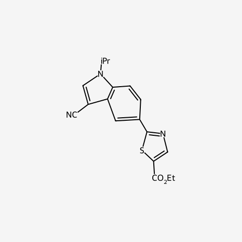 CCOC(=O)c1cnc(-c2ccc3c(c2)c(C#N)cn3C(C)C)s1